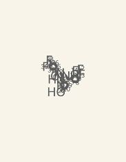 O=C(/N=C(/NCc1cccc(C(F)(F)F)c1)Nc1cccc(O)n1)c1ccc(F)c(F)c1